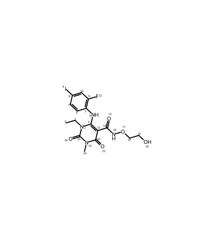 CCn1c(Nc2ccc(I)cc2F)c(C(=O)NOCCO)c(=O)n(C)c1=O